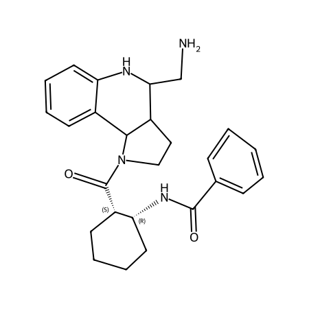 NCC1Nc2ccccc2C2C1CCN2C(=O)[C@H]1CCCC[C@H]1NC(=O)c1ccccc1